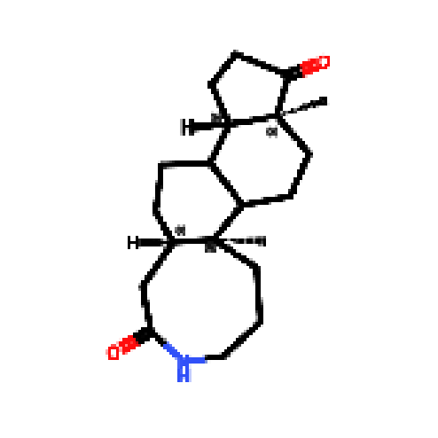 C[C@]12CCC3C(CC[C@H]4CC(=O)NCCC[C@]34C)[C@@H]1CCC2=O